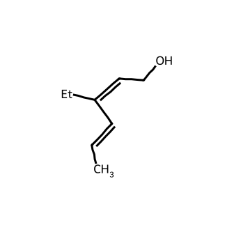 C/C=C/C(=C\CO)CC